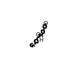 COc1ccc(-c2ccc(NC(=O)C=Cc3ccc(CN4CCCC4)cc3)cc2)cc1